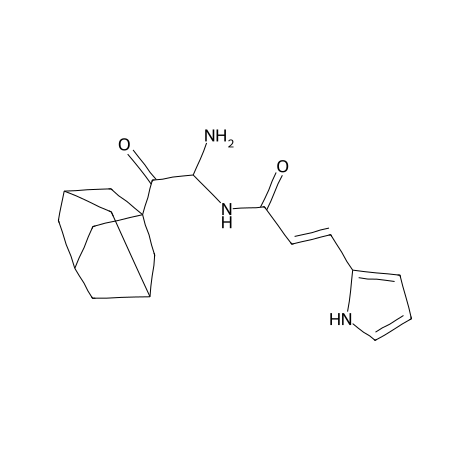 NC(NC(=O)C=Cc1ccc[nH]1)C(=O)C12CC3CC(CC(C3)C1)C2